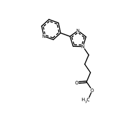 COC(=O)CCCn1cnc(-c2cccnc2)c1